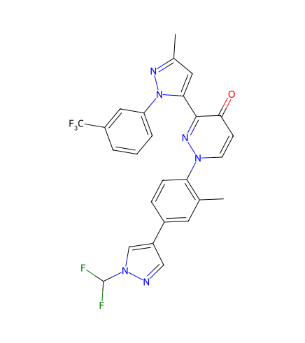 Cc1cc(-c2nn(-c3ccc(-c4cnn(C(F)F)c4)cc3C)ccc2=O)n(-c2cccc(C(F)(F)F)c2)n1